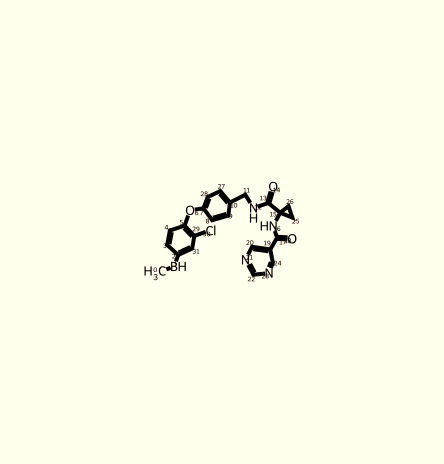 CBc1ccc(Oc2ccc(CNC(=O)C3(NC(=O)c4cncnc4)CC3)cc2)c(Cl)c1